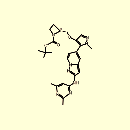 Cc1cc(Nc2cc3cc(-c4c(OC[C@H]5CCN5C(=O)OC(C)(C)C)cnn4C)ccn3n2)nc(C)n1